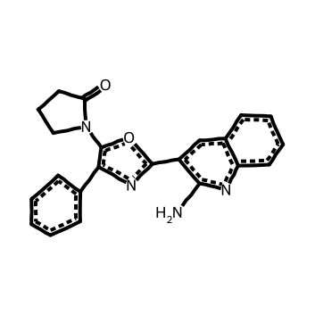 Nc1nc2ccccc2cc1-c1nc(-c2ccccc2)c(N2CCCC2=O)o1